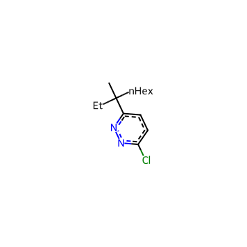 CCCCCCC(C)(CC)c1ccc(Cl)nn1